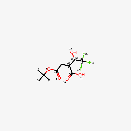 CC(C)(C)OC(=O)C[C@H](C(=O)O)[C@H](O)C(F)(F)F